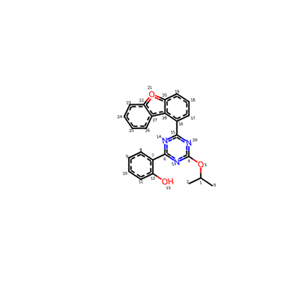 CC(C)Oc1nc(-c2ccccc2O)nc(-c2cccc3oc4ccccc4c23)n1